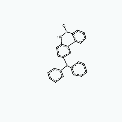 ClB1Nc2ccc(N(c3ccccc3)c3ccccc3)cc2-c2ccccc21